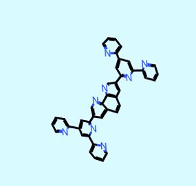 c1ccc(-c2cc(-c3cnc4c(ccc5cc(-c6cc(-c7ccccn7)cc(-c7ccccn7)n6)cnc54)c3)nc(-c3ccccn3)c2)nc1